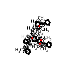 C[SiH](C)O[Si](O[Si](C)(C)CC[Si](C)(C)O[Si](O[Si](C)(C)CC[Si](C)(C)O[Si](O[SiH](C)C)(c1ccccc1)c1ccccc1)(O[Si](C)(C)CC[Si](C)(C)O[Si](O[Si](C)(C)C)(c1ccccc1)c1ccccc1)c1ccccc1)(c1ccccc1)c1ccccc1